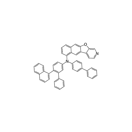 c1ccc(-c2ccc(N(c3ccc(-c4cccc5ccccc45)c(-c4ccccc4)c3)c3cccc4cc5oc6cnccc6c5cc34)cc2)cc1